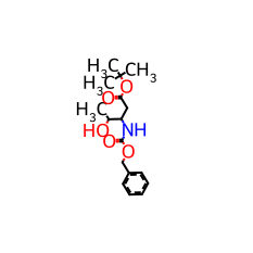 CC(O)C(CC(=O)OC(C)(C)C)NC(=O)OCc1ccccc1